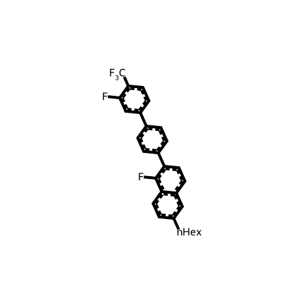 CCCCCCc1ccc2c(F)c(-c3ccc(-c4ccc(C(F)(F)F)c(F)c4)cc3)ccc2c1